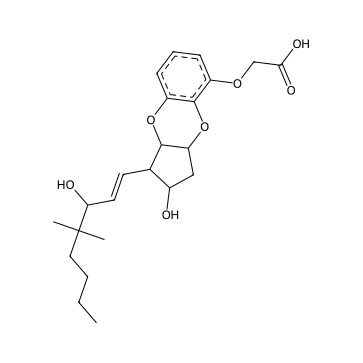 CCCCC(C)(C)C(O)/C=C/C1C(O)CC2Oc3c(OCC(=O)O)cccc3OC21